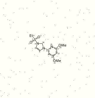 CCS(=O)(=O)N1C=CN(c2cc(OC)cc(OC)n2)C1